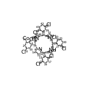 Clc1ccc(Cl)c(-c2c3nc(c(-c4cc(Cl)ccc4Cl)c4ccc([nH]4)c(-c4cc(Cl)ccc4Cl)c4nc(c(-c5cc(Cl)ccc5Cl)c5ccc2[nH]5)C=C4)C=C3)c1.[Co]